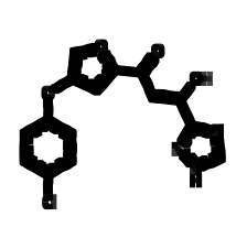 O=C(C=C(O)c1nc[nH]n1)c1cc(Oc2ccc(Cl)cc2)co1